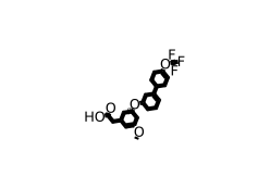 COC1=CC(CC(=O)O)C[C@@H](OC2CCC=C(C3CC=C(OC(F)(F)F)CC3)C2)C1